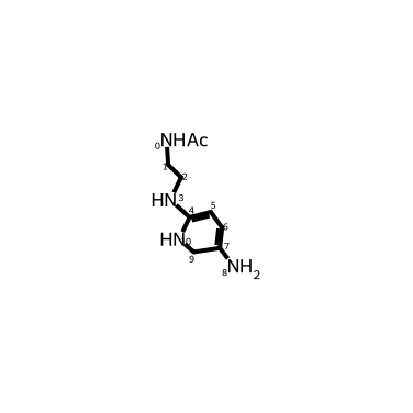 CC(=O)NCCNC1=CC=C(N)CN1